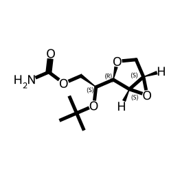 CC(C)(C)O[C@@H](COC(N)=O)[C@H]1OC[C@@H]2O[C@H]12